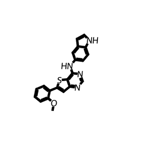 COc1ccccc1-c1cc2ncnc(Nc3ccc4[nH]ccc4c3)c2s1